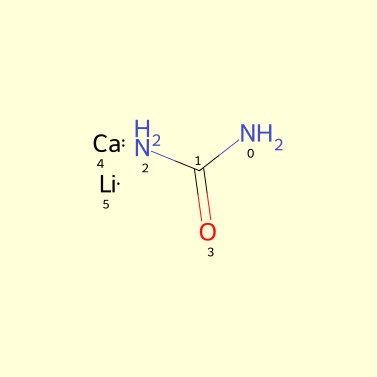 NC(N)=O.[Ca].[Li]